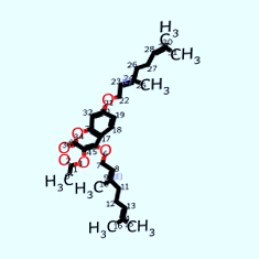 CC(=O)Oc1c(OC/C=C(\C)CCC=C(C)C)c2ccc(OC/C=C(\C)CCC=C(C)C)cc2oc1=O